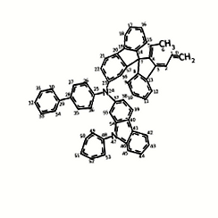 C=C/C=C1\C(=C/C)C2(c3ccccc31)c1ccccc1-c1ccc(N(c3ccc(-c4ccccc4)cc3)c3ccc4c5ccccc5n(-c5ccccc5)c4c3)cc12